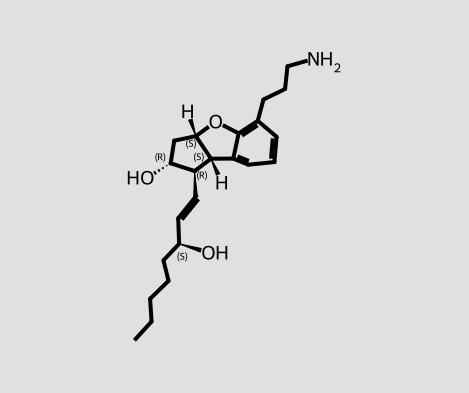 CCCCC[C@H](O)C=C[C@@H]1[C@H]2c3cccc(CCCN)c3O[C@H]2C[C@H]1O